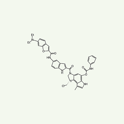 CCN(CC)c1ccc2cc(C(=O)Nc3ccc4[nH]c(C(=O)N5C[C@@H](CCl)c6c5cc(OC(=O)Nc5ccccc5)c5[nH]cc(C)c65)cc4c3)oc2c1